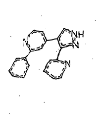 c1ccc(-c2cc(-c3c[nH]nc3-c3ccccn3)ccn2)cc1